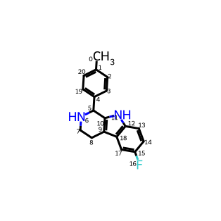 Cc1ccc(C2NCCc3c2[nH]c2ccc(F)cc32)cc1